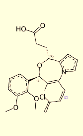 C=C(Cl)/C=C\C1=C(C)[C@@H](c2cccc(OC)c2OC)O[C@H](CCC(=O)O)c2cccn21